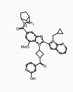 COc1cc(C(=O)N2CC3CCC2[C@@H]3N)cc2nc(-c3cc4cccnc4n3CC3CC3)n(C3CN(C(=O)c4ccnc(O)c4)C3)c12